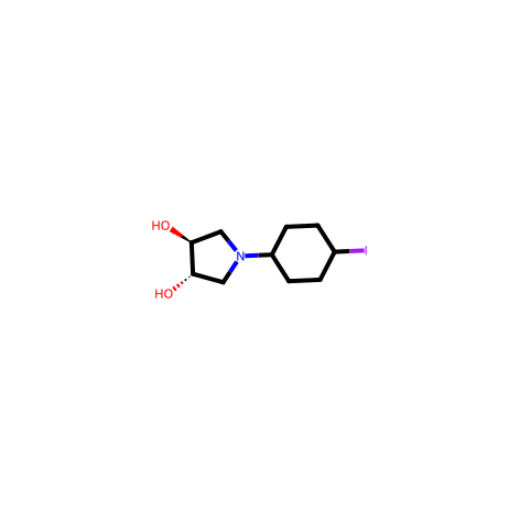 O[C@H]1CN(C2CCC(I)CC2)C[C@@H]1O